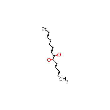 CC=CC=CC(=O)C(=O)C=CCCC=CCC